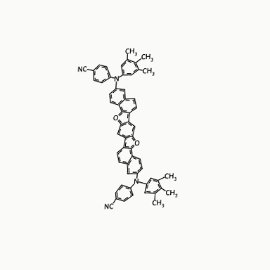 Cc1cc(N(c2ccc(C#N)cc2)c2ccc3c(ccc4c5cc6oc7c8ccc(N(c9ccc(C#N)cc9)c9cc(C)c(C)c(C)c9)cc8ccc7c6cc5oc34)c2)cc(C)c1C